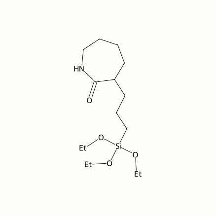 CCO[Si](CCCC1CCCCNC1=O)(OCC)OCC